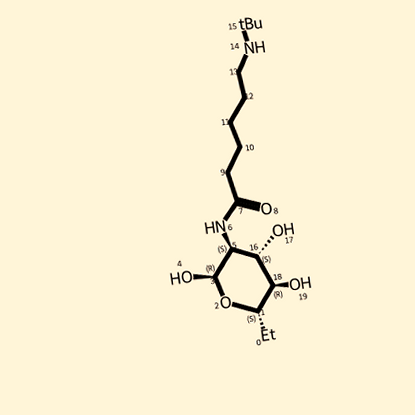 CC[C@@H]1O[C@@H](O)[C@@H](NC(=O)CCCCCNC(C)(C)C)[C@H](O)[C@H]1O